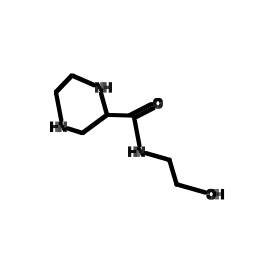 O=C(NCCO)C1CNCCN1